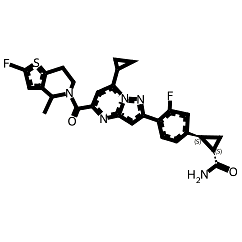 CC1c2cc(F)sc2CCN1C(=O)c1cc(C2CC2)n2nc(-c3ccc([C@H]4C[C@@H]4C(N)=O)cc3F)cc2n1